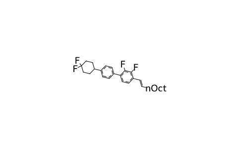 CCCCCCCCC=Cc1ccc(-c2ccc(C3CCC(F)(F)CC3)cc2)c(F)c1F